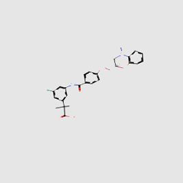 CN1C[C@@H](COc2ccc(C(=O)Nc3cc(Cl)cc(C(C)(C)C(=O)O)c3)cc2)Oc2ccccc21